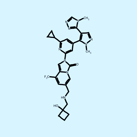 Cn1cnnc1-c1cnn(C)c1-c1cc(C2CC2)nc(-n2cc3c(C(F)(F)F)cc(CNCC4(O)CCC4)cn3c2=O)c1